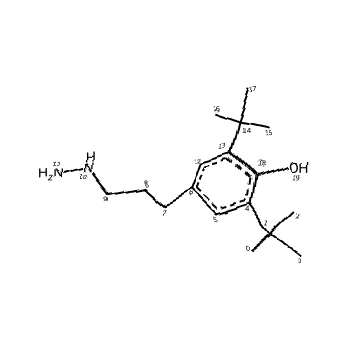 CC(C)(C)c1cc(CCCNN)cc(C(C)(C)C)c1O